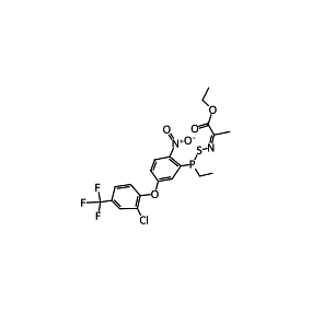 CCOC(=O)C(C)=NSP(CC)c1cc(Oc2ccc(C(F)(F)F)cc2Cl)ccc1[N+](=O)[O-]